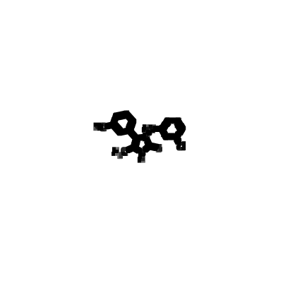 Cc1[nH]c(=S)n(Nc2cccc(Cl)c2)c1-c1cccc(C#N)c1